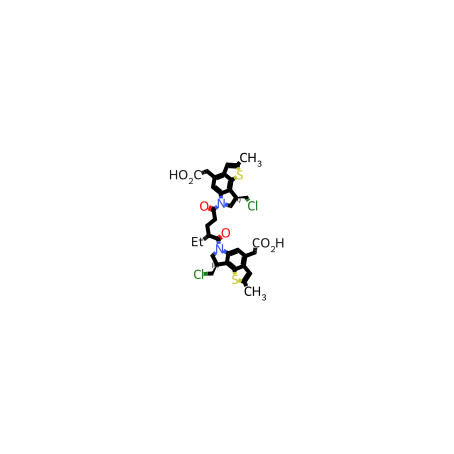 CCC(CCC(=O)N1C[C@H](CCl)c2c1cc(CC(=O)O)c1cc(C)sc21)C(=O)N1C[C@H](CCl)c2c1cc(CC(=O)O)c1cc(C)sc21